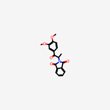 COc1ccc(C(=O)C(C)N2C(=O)c3ccccc3C2=O)cc1OC